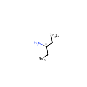 CCOC(=O)C[C@@H](N)C[C@H](C)CC